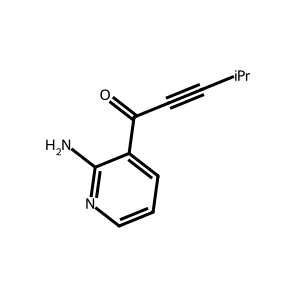 CC(C)C#CC(=O)c1cccnc1N